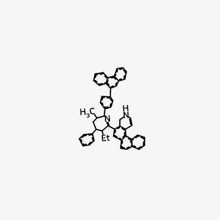 CCC1C(c2cc3ccc4ccccc4c3c3c2CNC=C3)=NC(c2ccc(-c3cc4ccccc4c4ccccc34)cc2)C(C)CC1c1ccccc1